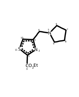 CCOC(=O)c1nc(CN2CCCC2)cs1